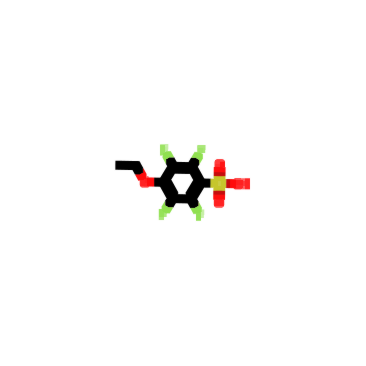 CCOc1c(F)c(F)c(S(=O)(=O)O)c(F)c1F